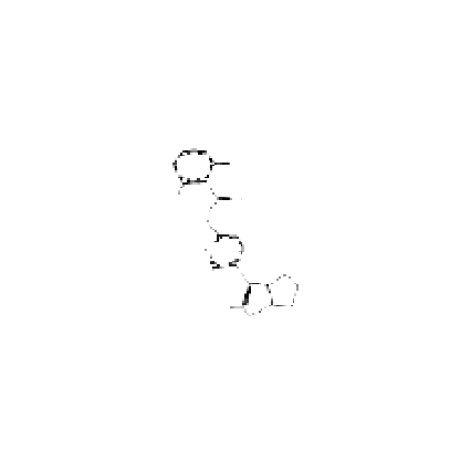 CC1=C(c2ccc(NC(=O)c3c(F)cccc3F)nc2)C2CCCC2C1